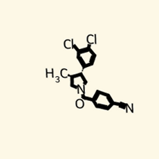 C[C@@H]1CN(C(=O)c2ccc(C#N)cc2)C[C@H]1c1ccc(Cl)c(Cl)c1